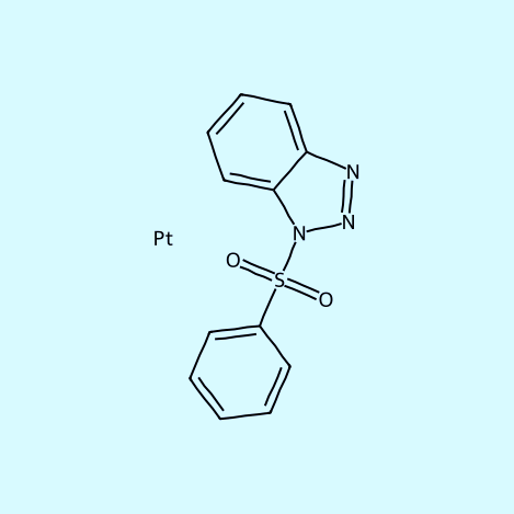 O=S(=O)(c1ccccc1)n1nnc2ccccc21.[Pt]